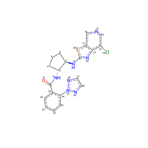 O=C(N[C@@H]1CCC[C@H]1Nc1nc2c(Cl)cncc2s1)c1ccccc1-n1nccn1